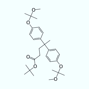 COC(C)(C)Oc1ccc(C(C)(CCC(=O)OC(C)(C)C)c2ccc(OC(C)(C)OC)cc2)cc1